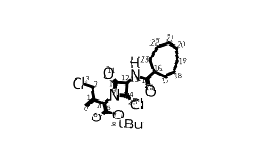 C=C(CCl)C(C(=O)OC(C)(C)C)N1C(=O)C(NC(=O)C2CCCCCCC2)C1Cl